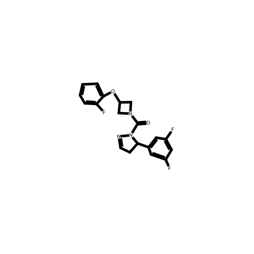 O=C(N1CC(Oc2ccccc2F)C1)N1N=CCC1c1cc(F)cc(F)c1